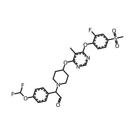 Cc1c(Oc2ccc(S(C)(=O)=O)cc2F)ncnc1OC1CCN(C(C=O)c2ccc(OC(F)F)cc2)CC1